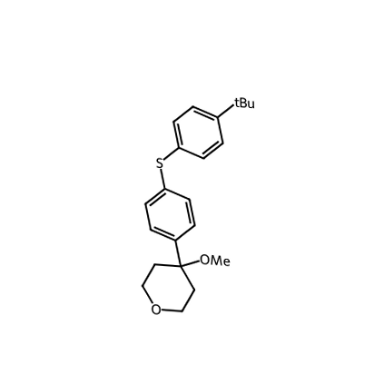 COC1(c2ccc(Sc3ccc(C(C)(C)C)cc3)cc2)CCOCC1